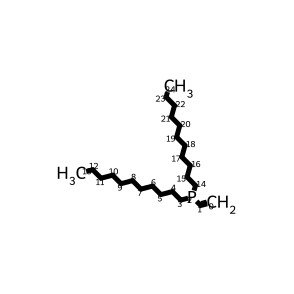 C=CP(CCCCCCCCCCC)CCCCCCCCCCC